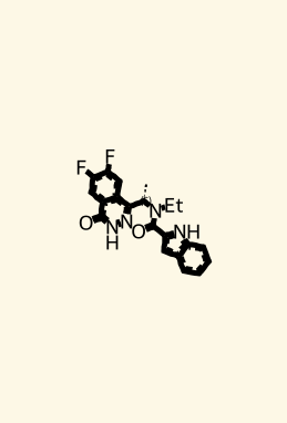 CCN(C(=O)c1cc2ccccc2[nH]1)[C@@H](C)c1n[nH]c(=O)c2cc(F)c(F)cc12